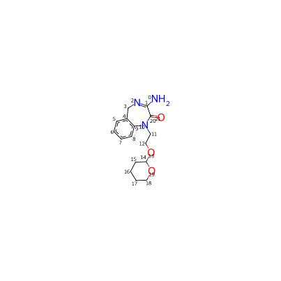 NC1=NCc2ccccc2N(CCOC2CCCCO2)C1=O